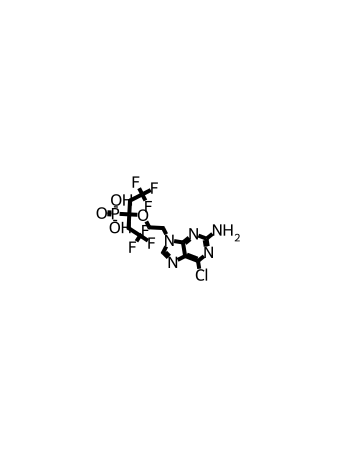 Nc1nc(Cl)c2ncn(CCOC(CC(F)(F)F)(CC(F)(F)F)P(=O)(O)O)c2n1